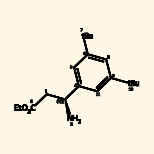 CCOC(=O)C[C@H](N)c1cc(C(C)(C)C)cc(C(C)(C)C)c1